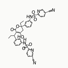 CCC(C1=C(O)CC(CC)(c2cccc(NS(=O)(=O)c3ccc(C#N)cn3)c2)OC1=O)c1cccc(NS(=O)(=O)c2ccc(C#N)cn2)c1